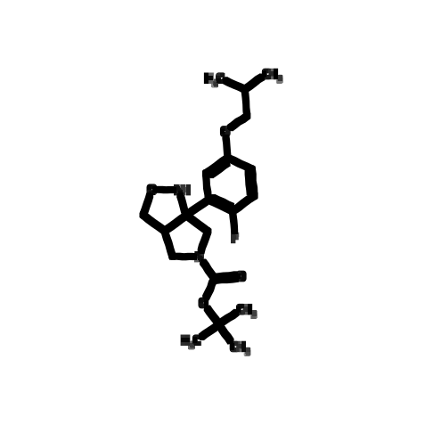 CC(C)COc1ccc(F)c(C23CN(C(=O)OC(C)(C)C)CC2CON3)c1